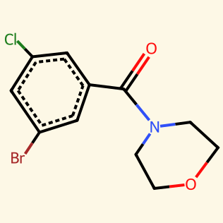 O=C(c1cc(Cl)cc(Br)c1)N1CCOCC1